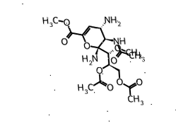 COC(=O)C1=C[C@H](N)[C@@H](NC(C)=O)[C@](N)([C@H](OC)[C@@H](COC(C)=O)OC(C)=O)O1